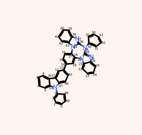 c1ccc(-n2c3ccccc3c3cc(-c4ccc5c(c4)n4c6ccccc6nc4n(-c4ccccc4)c4nc6ccccc6n54)ccc32)cc1